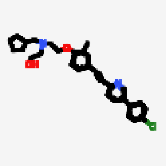 Cc1cc(C#Cc2ccc(-c3ccc(Cl)cc3)cn2)ccc1OCCN(CCO)CC1CCCC1